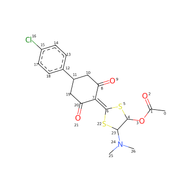 CC(=O)OC1SC(=C2C(=O)CC(c3ccc(Cl)cc3)CC2=O)SC1N(C)C